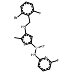 Cc1sc([S+]([O-])Nc2cccc(F)n2)cc1NCc1c(F)cccc1Br